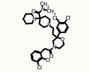 CN(C)C(=O)C1(N2CCCCC2)CCN(CCC2(c3ccc(Cl)c(Cl)c3)CN(C(=O)Cc3cccc(Cl)c3Cl)CCO2)CC1